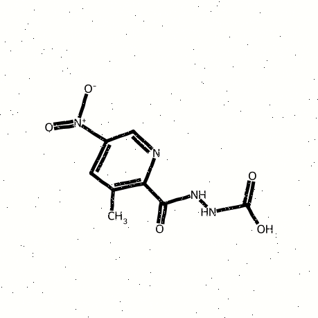 Cc1cc([N+](=O)[O-])cnc1C(=O)NNC(=O)O